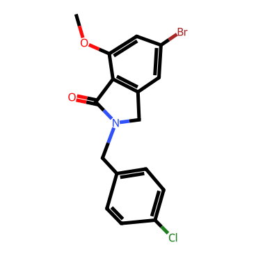 COc1cc(Br)cc2c1C(=O)N(Cc1ccc(Cl)cc1)C2